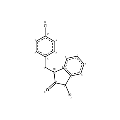 O=C1C(Br)c2ccccc2N1Cc1ccc(Cl)cc1